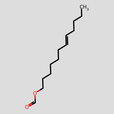 CCCCC=CCCCCCCOC=O